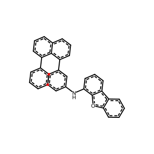 c1ccc(-c2cccc3cccc(-c4cccc(Nc5cccc6c5oc5ccccc56)c4)c23)cc1